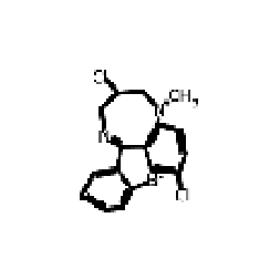 CN1CC(Cl)C/N=C(/c2ccccc2Br)c2cc(Cl)ccc21